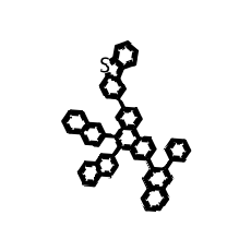 c1ccc(-c2cc3ccccc3cc2-c2ccc3c(c2)c(-c2ccc4ccccc4c2)c(-c2ccc4ccccc4c2)c2cc(-c4ccc5sc6ccccc6c5c4)ccc23)cc1